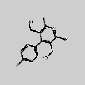 Cc1nc(C(C)C)c(CO)c(-c2ccc(F)cc2)c1CO